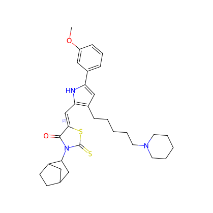 COc1cccc(-c2cc(CCCCCN3CCCCC3)c(/C=C3\SC(=S)N(C4CC5CCC4C5)C3=O)[nH]2)c1